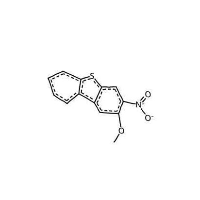 COc1cc2c(cc1[N+](=O)[O-])sc1ccccc12